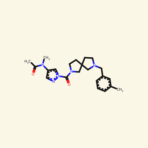 CC(=O)N(C)c1cnn(C(=O)N2CCC3(CCN(Cc4cccc(C)c4)C3)C2)c1